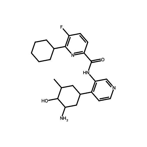 CC1CC(c2ccncc2NC(=O)c2ccc(F)c(C3CCCCC3)n2)CC(N)C1O